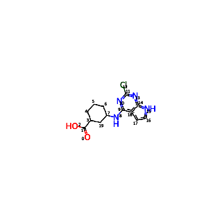 O=C(O)C1CCCC(Nc2nc(Cl)nc3[nH]ccc23)C1